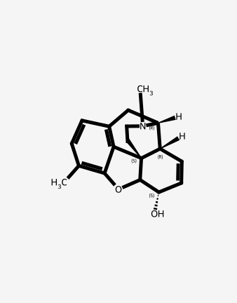 Cc1ccc2c3c1OC1[C@@H](O)C=C[C@H]4[C@@H](C2)N(C)CC[C@]314